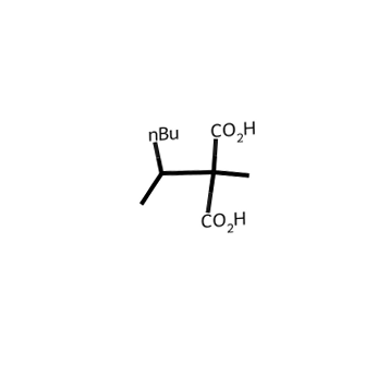 CCCCC(C)C(C)(C(=O)O)C(=O)O